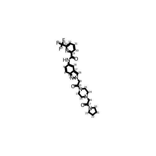 O=C(Nc1ccc2nn(CC(=O)N3CCN(CC(=O)N4CCCC4)CC3)cc2c1)c1cccc(C(F)(F)F)n1